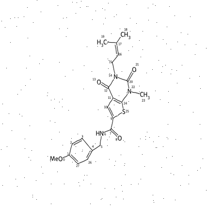 COc1ccc(CNC(=O)c2cc3c(=O)n(CC=C(C)C)c(=O)n(C)c3s2)cc1